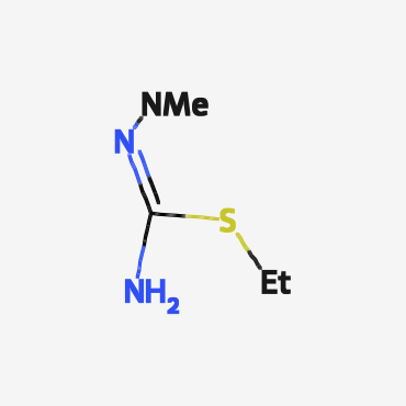 CCS/C(N)=N\NC